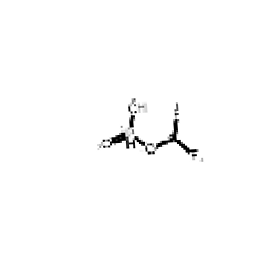 O=[PH](O)OC(F)F